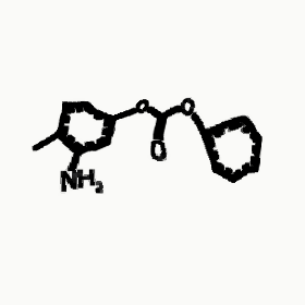 Cc1ccc(OC(=O)Oc2ccccc2)cc1N